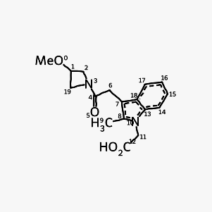 COC1CN(C(=O)Cc2c(C)n(CC(=O)O)c3ccccc23)C1